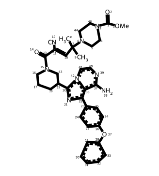 COC(=O)N1CCN(C(C)(C)C=C(C#N)C(=O)N2CCCC(c3nc(-c4ccc(Oc5ccccc5)cc4)c4c(N)nccn34)C2)CC1